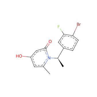 Cc1cc(O)cc(=O)n1[C@H](C)c1ccc(Br)c(F)c1